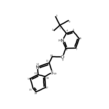 CC(C)(C)c1cccc(OCc2nc3ccccc3s2)n1